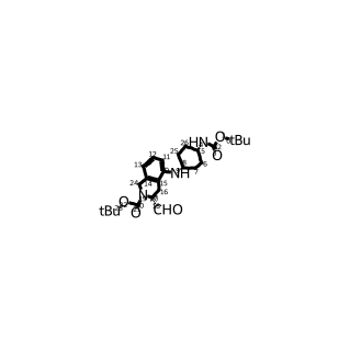 CC(C)(C)OC(=O)N[C@H]1CC[C@H](Nc2cccc3c2C[C@H](C=O)N(C(=O)OC(C)(C)C)C3)CC1